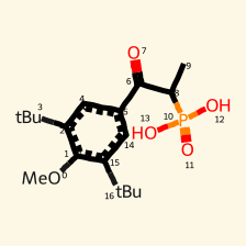 COc1c(C(C)(C)C)cc(C(=O)C(C)P(=O)(O)O)cc1C(C)(C)C